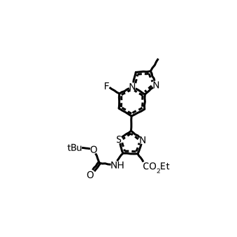 CCOC(=O)c1nc(-c2cc(F)n3cc(C)nc3c2)sc1NC(=O)OC(C)(C)C